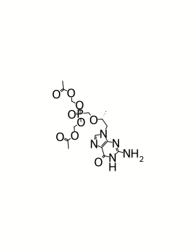 CC(=O)OCOP(=O)(CO[C@H](C)Cn1cnc2c(=O)[nH]c(N)nc21)OCOC(C)=O